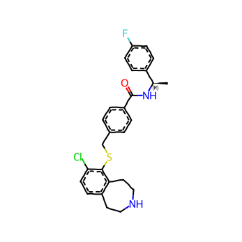 C[C@@H](NC(=O)c1ccc(CSc2c(Cl)ccc3c2CCNCC3)cc1)c1ccc(F)cc1